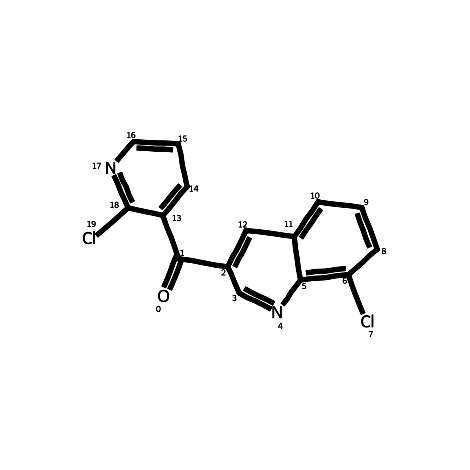 O=C(c1cnc2c(Cl)cccc2c1)c1cccnc1Cl